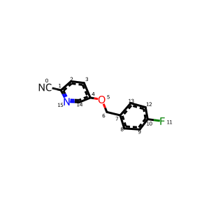 N#Cc1ccc(OCc2ccc(F)cc2)cn1